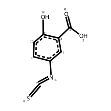 O=C(O)c1cc(N=C=S)ccc1O